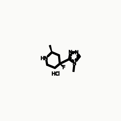 C[C@H]1C[C@@](F)(c2nncn2C)CCN1.Cl